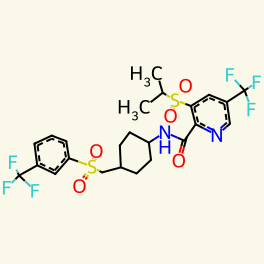 CC(C)S(=O)(=O)c1cc(C(F)(F)F)cnc1C(=O)NC1CCC(CS(=O)(=O)c2cccc(C(F)(F)F)c2)CC1